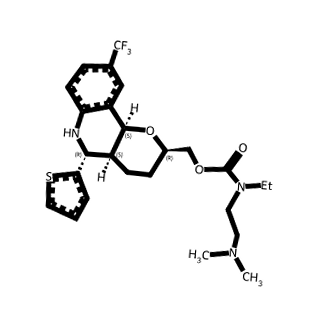 CCN(CCN(C)C)C(=O)OC[C@H]1CC[C@@H]2[C@H](O1)c1cc(C(F)(F)F)ccc1N[C@H]2c1cccs1